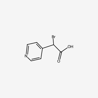 O=C(O)C(Br)c1ccncc1